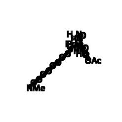 CNCCOCCOCCOCCOCCOCCOCCOCCOCCC(=O)N[C@H](C(=O)N[C@@H](CCCNC(N)=O)C(=O)Nc1ccc(COC(C)=O)cc1)C(C)C